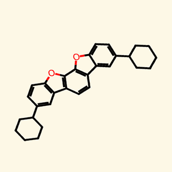 c1cc2oc3c(ccc4c5cc(C6CCCCC6)ccc5oc43)c2cc1C1CCCCC1